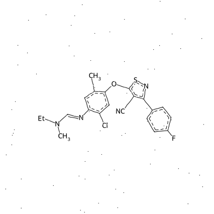 CCN(C)C=Nc1cc(C)c(Oc2snc(-c3ccc(F)cc3)c2C#N)cc1Cl